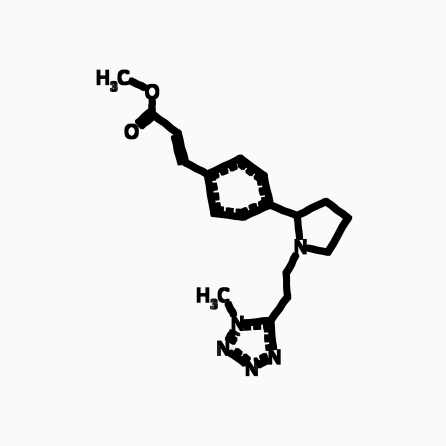 COC(=O)/C=C/c1ccc(C2CCCN2CCc2nnnn2C)cc1